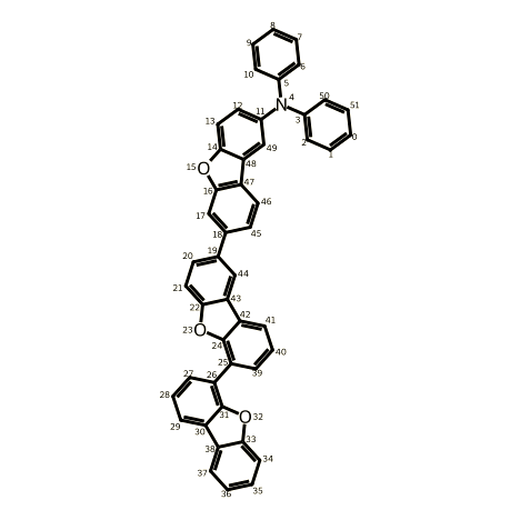 c1ccc(N(c2ccccc2)c2ccc3oc4cc(-c5ccc6oc7c(-c8cccc9c8oc8ccccc89)cccc7c6c5)ccc4c3c2)cc1